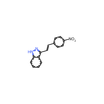 O=[N+]([O-])c1ccc(/C=C/c2n[nH]c3ccccc23)cc1